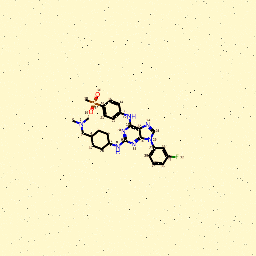 CN(C)CC1CCC(Nc2nc(Nc3ccc(S(C)(=O)=O)cc3)c3ncn(-c4cccc(F)c4)c3n2)CC1